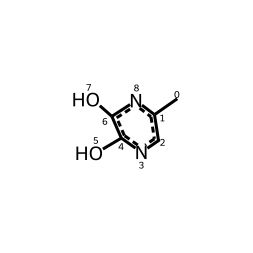 Cc1cnc(O)c(O)n1